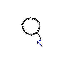 C/N=C/c1ccccccccc1